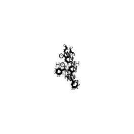 CCCn1c(=O)c2ccc(Nc3cc(N[C@H](CO)c4ccccc4)c(-c4nc(-c5ccccn5)no4)cn3)nc2n1C(C)C